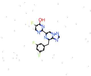 Oc1nc(-c2cn3ncnc3c(Cc3cc(F)cc(F)c3)n2)ncc1F